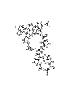 CCn1c(-c2cc(N3CCN(C4CC4)CC3)cnc2[C@H](C)OC)c2c3cc(ccc31)-c1csc(n1)C[C@H](NC(=O)[C@H](C1CCCC1)N1CC[C@]3(CCN(C(=O)[C@@H]4N[C@@H]4C4CC4)C3)C1)C(=O)N1CCC[C@H](N1)C(=O)OCC(C)(C)C2